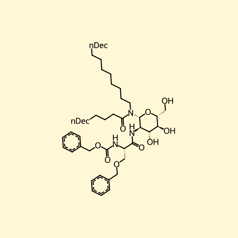 CCCCCCCCCCCCCCCCCCN(C(=O)CCCCCCCCCCCCC)[C@@H]1O[C@H](CO)[C@@H](O)[C@H](O)[C@H]1NC(=O)[C@H](COCc1ccccc1)NC(=O)OCc1ccccc1